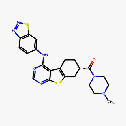 CN1CCN(C(=O)[C@H]2CCc3c(sc4ncnc(Nc5ccc6nnsc6c5)c34)C2)CC1